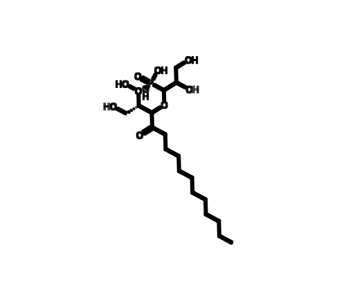 CCCCCCCCCCCC(=O)C(OC(C(O)CO)P(=O)(O)O)[C@H](CO)OO